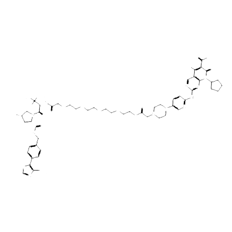 CC(=O)c1c(C)c2cnc(Nc3ccc(N4CCN(CC(=O)NCCOCCOCCOCCOCC(=O)N[C@H](C(=O)N5C[C@H](O)C[C@H]5C(=O)NCc5ccc(-c6scnc6C)cc5)C(C)(C)C)CC4)cn3)nc2n(C2CCCC2)c1=O